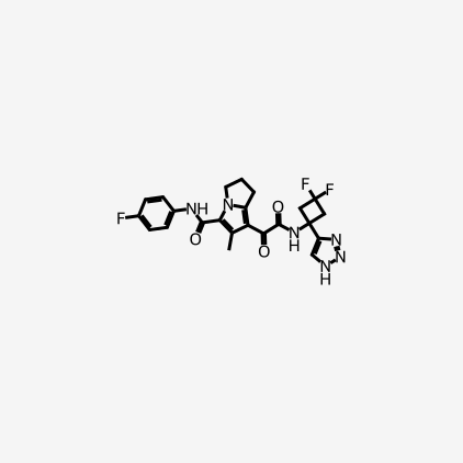 Cc1c(C(=O)C(=O)NC2(c3c[nH]nn3)CC(F)(F)C2)c2n(c1C(=O)Nc1ccc(F)cc1)CCC2